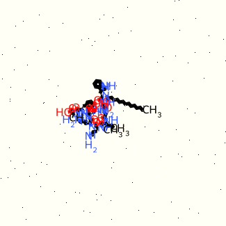 CCCCCCCCCCCCCC(=O)N[C@@H](Cc1c[nH]c2ccccc12)C(=O)NCC(=O)NCC(=O)N[C@H](C(=O)N[C@@H](CCCN)C(=O)N[C@@H](CCCN)C(=O)N[C@@H](CC(N)=O)C(=O)N[C@@H](Cc1ccc(O)cc1)C(=O)N[C@@H](C)C(=O)O)[C@@H](C)CC